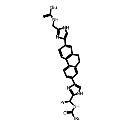 C=C(NCc1nc(-c2ccc3c(c2)CCc2cc(-c4c[nH]c(C(NC(=O)C(C)(C)C)C(C)C)n4)ccc2-3)c[nH]1)C(C)(C)C